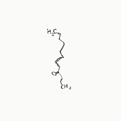 C=CCCCC=CCC(=O)C=CC